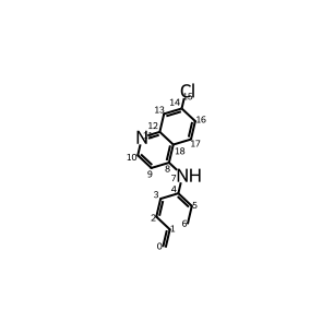 C=C/C=C\C(=C/C)Nc1ccnc2cc(Cl)ccc12